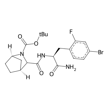 CC(C)(C)OC(=O)N1C(C(=O)N[C@@H](Cc2ccc(Br)cc2F)C(N)=O)[C@H]2CC[C@@H]1C2